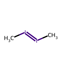 C/I=I/C